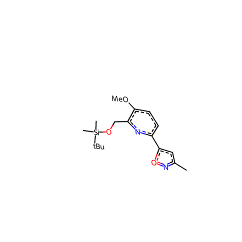 COc1ccc(-c2cc(C)no2)nc1CO[Si](C)(C)C(C)(C)C